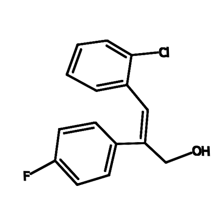 OC/C(=C/c1ccccc1Cl)c1ccc(F)cc1